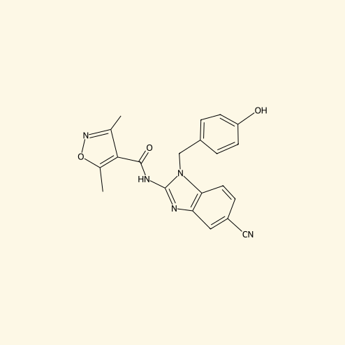 Cc1noc(C)c1C(=O)Nc1nc2cc(C#N)ccc2n1Cc1ccc(O)cc1